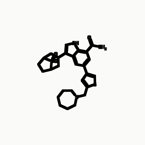 NC(=O)c1cc(-c2csc(CN3CCCCCC3)c2)cc2c(C3CC4CCC(C3)S4(=O)=O)c[nH]c12